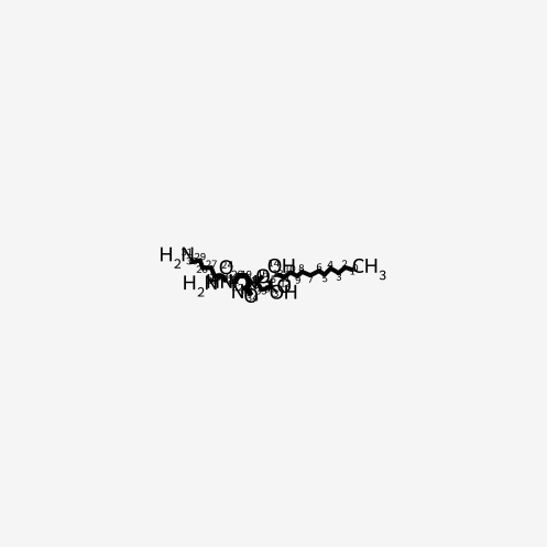 CCCCCCCCCCCC(=O)C(O)[C@H]1O[C@@H](n2ccc(NC(=O)[C@@H](N)CCCCN)nc2=O)C[C@@H]1O